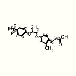 Cc1cc(SCC(C)Oc2ccc(C(F)(F)F)cc2)ccc1OCC(=O)O